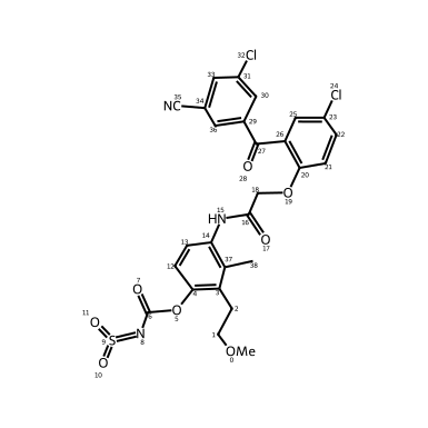 COCCc1c(OC(=O)N=S(=O)=O)ccc(NC(=O)COc2ccc(Cl)cc2C(=O)c2cc(Cl)cc(C#N)c2)c1C